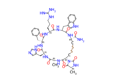 C[C@H]1NC(=O)[C@@H](N2C(=O)N[C@H](C)C2=O)CSSC[C@@H](C(N)=O)NC(=O)C(Cc2c[nH]c3ccccc23)NC(=O)[C@H](CCCNC(=N)N)NC(=O)[C@@H](Cc2ccccc2)NC(=O)[C@H](Cc2cnc[nH]2)NC1=O